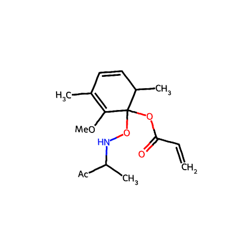 C=CC(=O)OC1(ONC(C)C(C)=O)C(OC)=C(C)C=CC1C